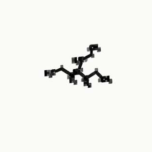 CC[SiH2][Sb]([SiH2]CC)[SiH2]CC